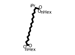 CCCCCCOC(=O)CCCCCCCCCCCCCCCC(C(=O)OCCCCCC)C(C)C